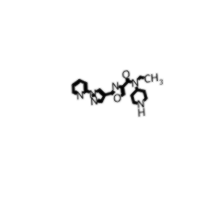 CCN(C(=O)c1coc(-c2cnn(-c3ccccn3)c2)n1)C1CCNCC1